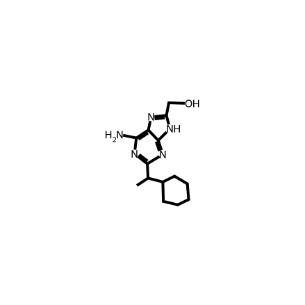 CC(c1nc(N)c2nc(CO)[nH]c2n1)C1CCCCC1